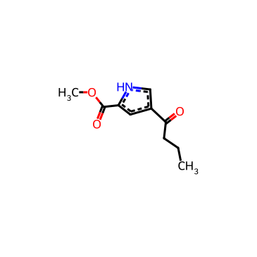 CCCC(=O)c1c[nH]c(C(=O)OC)c1